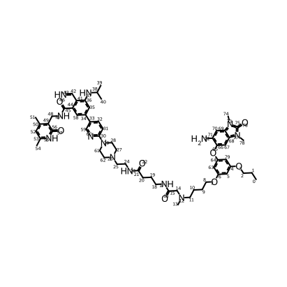 CCCOc1cc(OCCCCN(C)CC(=O)NCCCC(=O)NCCN2CCN(c3ccc(-c4cc(NC(C)C)c(C=N)c(C(=O)NCc5c(C)cc(C)[nH]c5=O)c4)cn3)CC2)cc(Oc2cc3c(cc2N)n(C)c(=O)n3C)c1